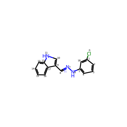 Clc1cccc(N/N=C/c2c[nH]c3ccccc23)c1